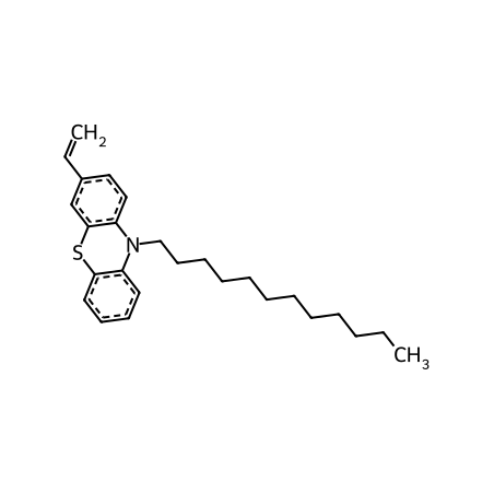 C=Cc1ccc2c(c1)Sc1ccccc1N2CCCCCCCCCCCC